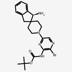 CC(C)(C)OC(=O)Nc1nc(N2CCC3(CC2)Cc2ccccc2[C@H]3N)cnc1Br